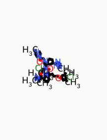 Cc1cc(OCCCc2c3n(c4c(-c5c(C)nn(C)c5C)cccc24)C(C)[C@@H](Cl)N(c2cn(CC(=O)N4CCN(C)CC4)c4ccc(-c5ncn(C)n5)cc24)C3=O)cc(C)c1Cl